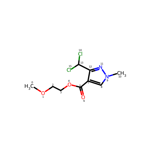 COCCOC(=O)c1cn(C)nc1C(Cl)Cl